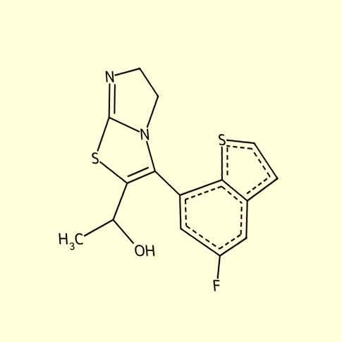 CC(O)C1=C(c2cc(F)cc3ccsc23)N2CCN=C2S1